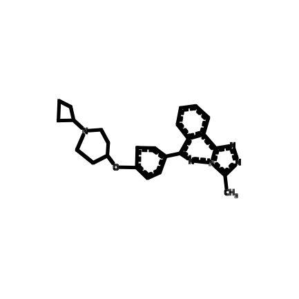 Cc1nnc2c3ccccc3c(-c3ccc(OC4CCN(C5CCC5)CC4)cc3)nn12